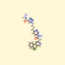 CNC(=O)c1cn(CCCCc2ccc(NC(=O)Cc3cc(-c4ccccc4C(F)(F)F)ccn3)nn2)nn1